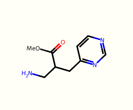 COC(=O)C(CN)Cc1ccncn1